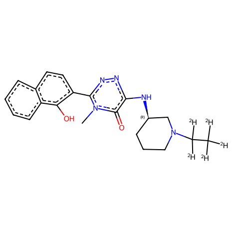 [2H]C([2H])([2H])C([2H])([2H])N1CCC[C@@H](Nc2nnc(-c3ccc4ccccc4c3O)n(C)c2=O)C1